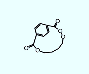 O=C1OCCCCOOC(=O)c2ccc1cc2